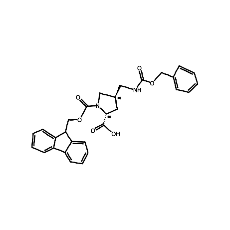 O=C(NC[C@H]1C[C@H](C(=O)O)N(C(=O)OCC2c3ccccc3-c3ccccc32)C1)OCc1ccccc1